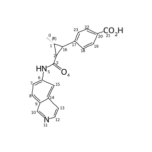 C[C@H]1C(C(=O)Nc2ccc3cnccc3c2)C1c1ccc(C(=O)O)cc1